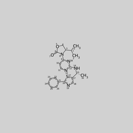 CC(C)C1COC(=O)N1c1ccnc(N[C@H](C)c2cnc(-c3ccccc3)s2)n1